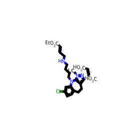 CCOC(=O)/C=C/CNCCCCN1c2cc(Cl)ccc2CCc2cnn(C)c21.O=C(O)/C=C\C(=O)O